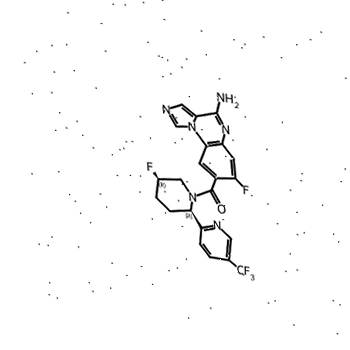 Nc1nc2cc(F)c(C(=O)N3C[C@H](F)CC[C@@H]3c3ccc(C(F)(F)F)cn3)cc2n2cncc12